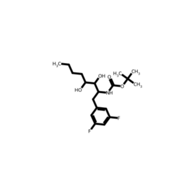 CCCCC(O)C(O)C(Cc1cc(F)cc(F)c1)NC(=O)OC(C)(C)C